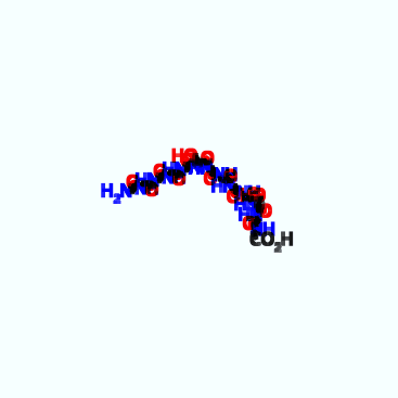 NCC(=O)NCC(=O)NCC(=O)NCC(=O)NCC(=O)N[C@@H](CO)C(=O)NCC(=O)NCC(=O)NCC(=O)NCC(=O)N[C@@H](CO)C(=O)NCC(=O)NCC(=O)O